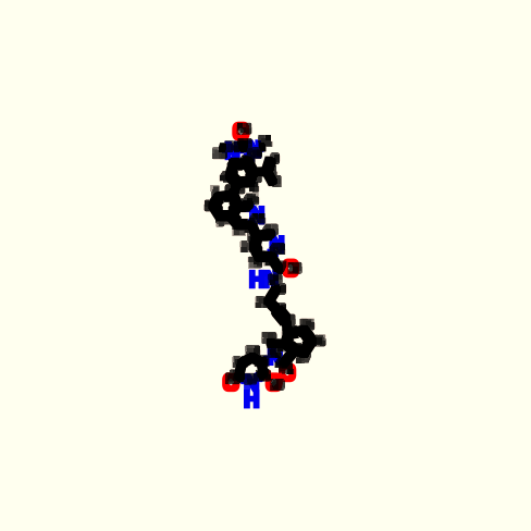 C=C(C)c1cc(-c2cccc3cc(-c4ccc(C(=O)NCCC#Cc5cccc6c5CN(C5CCC(=O)NC5=O)C6=O)nc4)ncc23)cc2c1n(C)c(=O)n2C